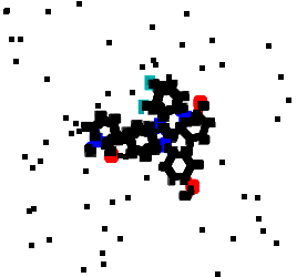 CO[C@H]1CC[C@H](n2c([C@@H]3CCCC(=O)N3c3ccc(F)c(F)c3)nc3cc(-c4cccn(C)c4=O)ccc32)CC1